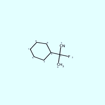 CC(F)(C#N)C1CCCCC1